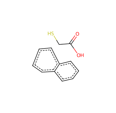 O=C(O)CS.c1ccc2ccccc2c1